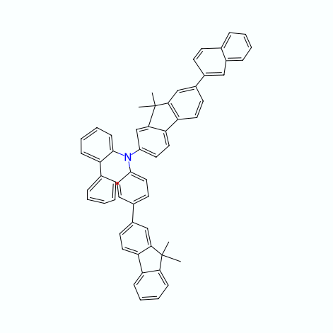 CC1(C)c2ccccc2-c2ccc(-c3ccc(N(c4ccc5c(c4)C(C)(C)c4cc(-c6ccc7ccccc7c6)ccc4-5)c4ccccc4-c4ccccc4)cc3)cc21